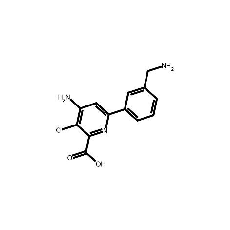 NCc1cccc(-c2cc(N)c(Cl)c(C(=O)O)n2)c1